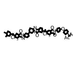 CC(=O)N(C(C)=O)c1ccc(Oc2ccc(N3C(=O)c4ccc(C(C)(c5ccc6c(c5)C(=O)n5c-6nc6ccc(-c7ccc8nc9n(c8c7)C(=O)c7cc(C(C)(c8ccc(C)c(C)c8)C(F)(F)F)ccc7-9)cc65)C(F)(F)F)cc4C3=O)cc2)cc1